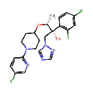 C[C@@H](OC1CCN(c2ccc(F)cn2)CC1)[C@](O)(Cn1cncn1)c1ccc(F)cc1F